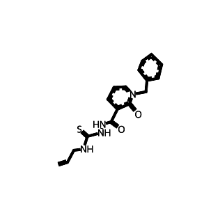 C=CCNC(=S)NNC(=O)c1cccn(Cc2ccccc2)c1=O